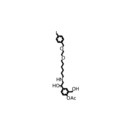 CC(=O)Oc1ccc([C@@H](O)CNCCCCCCOCCOCc2ccc(I)cc2)cc1CO